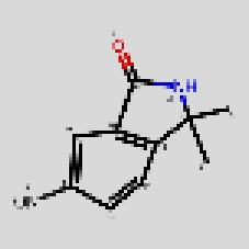 CC1(C)NC(=O)c2cc(N=O)ccc21